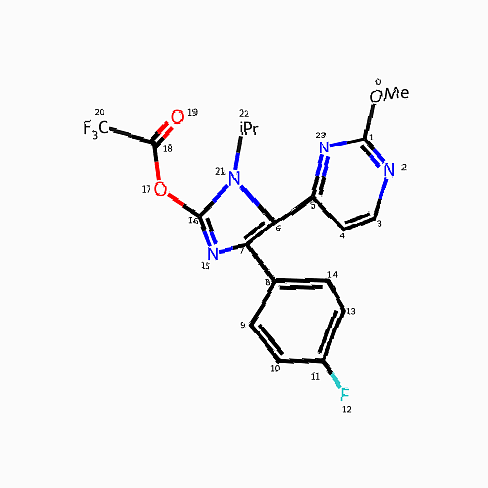 COc1nccc(-c2c(-c3ccc(F)cc3)nc(OC(=O)C(F)(F)F)n2C(C)C)n1